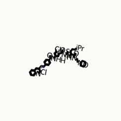 CC(C)CCc1sc(NC(=O)c2cc(NC(=O)c3ccc(/C=C/c4cc5ccccc5nc4Cl)cc3)cn2C)nc1C(=O)NCCN1CCOCC1